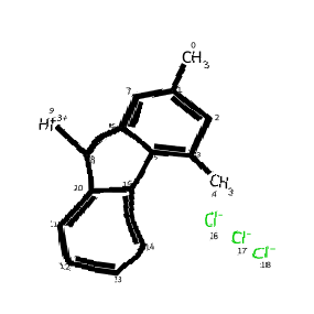 Cc1cc(C)c2c(c1)[CH]([Hf+3])c1ccccc1-2.[Cl-].[Cl-].[Cl-]